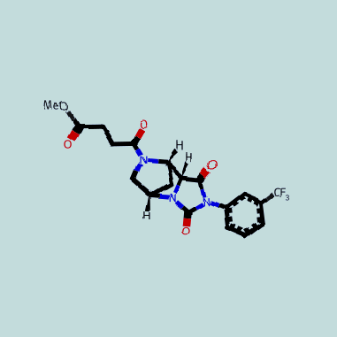 COC(=O)CCC(=O)N1C[C@@H]2C[C@H]1[C@@H]1C(=O)N(c3cccc(C(F)(F)F)c3)C(=O)N21